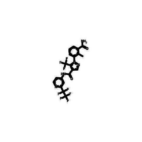 Cc1c(C(N)=O)cccc1-n1ncc(C(=O)Nc2ccnc(C(F)(F)C(F)(F)F)c2)c1C(F)(F)F